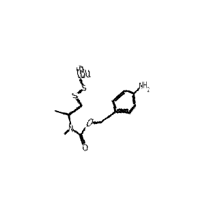 CC(CSSC(C)(C)C)N(C)C(=O)OCc1ccc(N)cc1